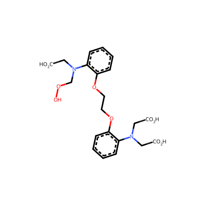 O=C(O)CN(COO)c1ccccc1OCCOc1ccccc1N(CC(=O)O)CC(=O)O